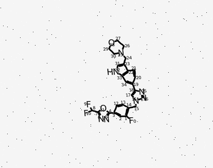 Fc1cc(-c2nnc(C(F)F)o2)ccc1Cn1cc(-c2ccc3c(CN4CCOCC4)c[nH]c3c2)nn1